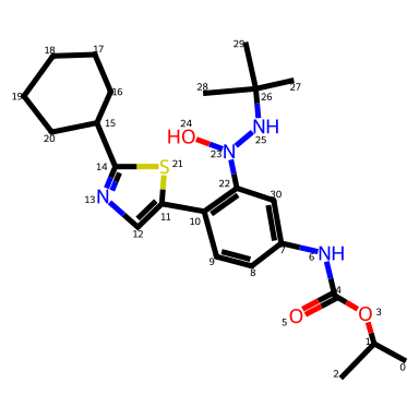 CC(C)OC(=O)Nc1ccc(-c2cnc(C3CCCCC3)s2)c(N(O)NC(C)(C)C)c1